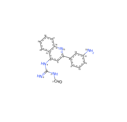 N=C(NC=O)Nc1cc(-c2cccc(N)c2)nc2ccccc12